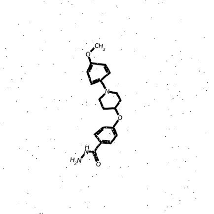 COc1ccc(N2CCC(Oc3ccc(C(=O)NN)cc3)CC2)cc1